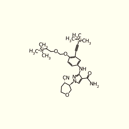 C[Si](C)(C)C#Cc1cc(Nc2nn([C@H]3COCC[C@@H]3C#N)cc2C(N)=O)ccc1OCOCC[Si](C)(C)C